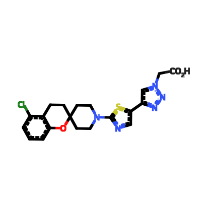 O=C(O)Cn1cc(-c2cnc(N3CCC4(CCc5c(Cl)cccc5O4)CC3)s2)nn1